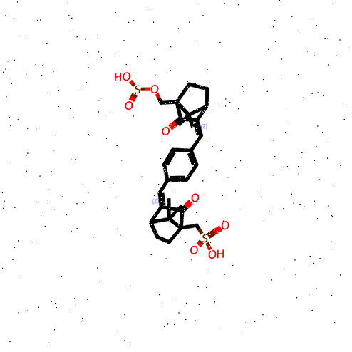 CC1(C)C2CCC1(COS(=O)O)C(=O)/C2=C\c1ccc(/C=C2\C(=O)C3(CS(=O)(=O)O)CCC2C3(C)C)cc1